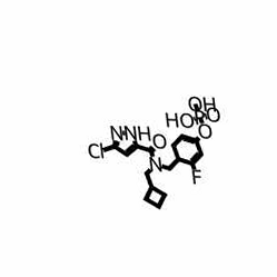 O=C(c1cc(Cl)n[nH]1)N(CC1CCC1)CC1CC=C(OP(=O)(O)O)C=C1F